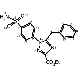 CCOC(=O)c1nc(Cc2ccccc2)n(-c2ccc(S(N)(=O)=O)cc2)n1